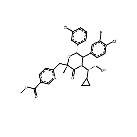 COC(=O)c1ccc(C[C@]2(C)O[C@H](c3cccc(Cl)c3)C(c3ccc(Cl)c(F)c3)N([C@H](CO)C3CC3)C2=O)nc1